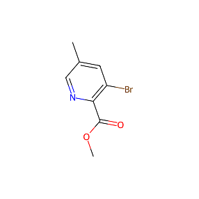 COC(=O)c1ncc(C)cc1Br